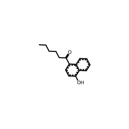 CCCCCC(=O)c1ccc(O)c2ccccc12